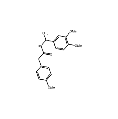 COc1ccc(CC(=O)NC(C)c2ccc(OC)c(OC)c2)cc1